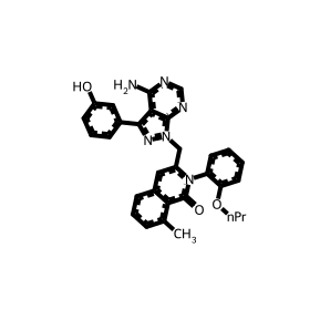 CCCOc1ccccc1-n1c(Cn2nc(-c3cccc(O)c3)c3c(N)ncnc32)cc2cccc(C)c2c1=O